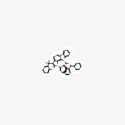 CC1(C)c2ccccc2Sc2c1c1ccc3c4ccccc4n(-c4nc(-c5ccccc5)c5ccccc5n4)c3c1n2-c1ccccc1